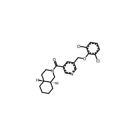 O=C(c1cncc(COc2c(Cl)cccc2Cl)c1)N1CC[C@H]2CCCC[C@@H]2C1